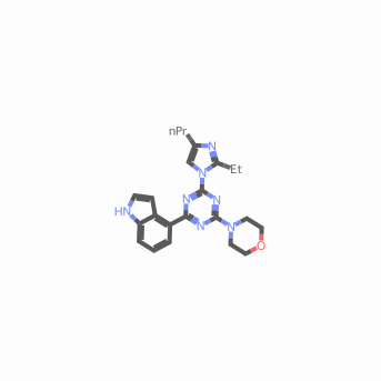 CCCc1cn(-c2nc(-c3cccc4[nH]ccc34)nc(N3CCOCC3)n2)c(CC)n1